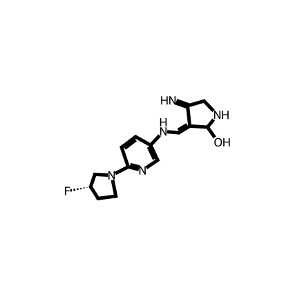 N=C1CNC(O)/C1=C/Nc1ccc(N2CC[C@H](F)C2)nc1